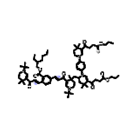 CCCCC(CC)COC(=O)c1cc(/C=C/C(=O)C2=CN(C(C)(C)C)CCC2(C)CC2CC(C)(C)C(C(=O)CCC(=O)OCCC)=CN2c2ccc(N3C=C(C(=O)CCC(=O)OCCC)C(C)(C)CC3)cc2)ccc1/C=C/C(=O)C1=CN(C(C)(C)C)CCC1(C)C